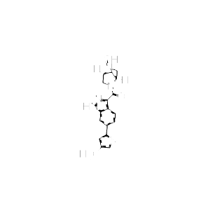 Cc1csc(-c2ccc3c(C(=O)N4C[C@@H]5C[C@H]4CN5C)n[nH]c3c2)c1